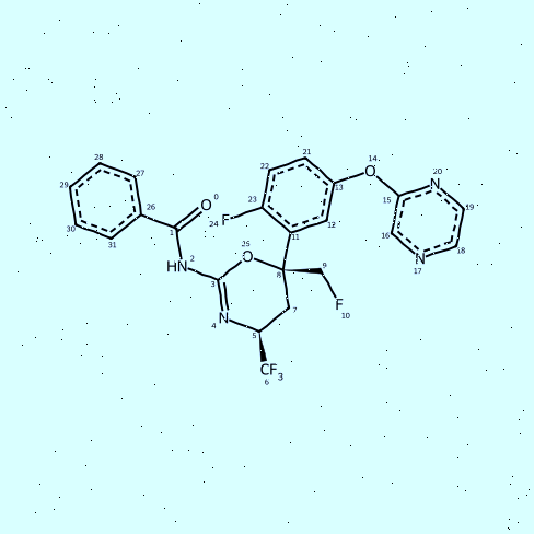 O=C(NC1=N[C@H](C(F)(F)F)C[C@@](CF)(c2cc(Oc3cnccn3)ccc2F)O1)c1ccccc1